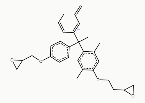 C=C/C=C(\C=C/C)C(C)(c1ccc(OCC2CO2)cc1)c1cc(C)c(OCCC2CO2)cc1C